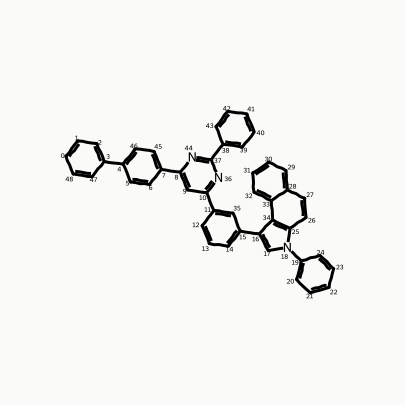 c1ccc(-c2ccc(-c3cc(-c4cccc(-c5cn(-c6ccccc6)c6ccc7ccccc7c56)c4)nc(-c4ccccc4)n3)cc2)cc1